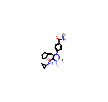 C=NN(/C(C=C1CCCC1)=C(\N)C(=O)NC1CC1)c1ccc(C(=O)NCC)cc1